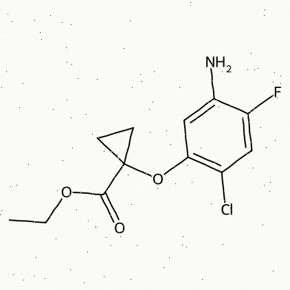 CCOC(=O)C1(Oc2cc(N)c(F)cc2Cl)CC1